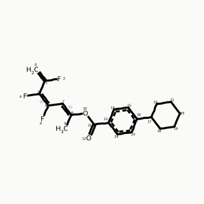 C=C(F)/C(F)=C(F)\C=C(/C)OC(=O)c1ccc(C2CCCCC2)cc1